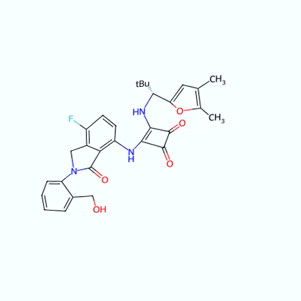 Cc1cc([C@H](Nc2c(Nc3ccc(F)c4c3C(=O)N(c3ccccc3CO)C4)c(=O)c2=O)C(C)(C)C)oc1C